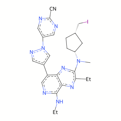 CCNc1ncc(-c2cnn(-c3cnc(C#N)nc3)c2)c2nc(N(C)[C@@H]3CC[C@H](CI)C3)c(CC)nc12